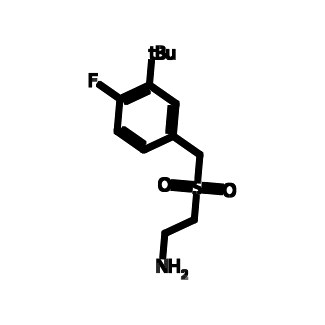 CC(C)(C)c1cc(CS(=O)(=O)CCN)ccc1F